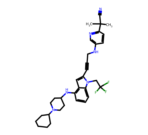 CC(C)(C#N)c1ccc(NCC#Cc2cc3c(NC4CCN(C5CCCCC5)CC4)cccc3n2CC(F)(F)F)cn1